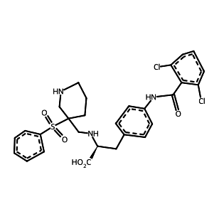 O=C(Nc1ccc(C[C@H](NCC2(S(=O)(=O)c3ccccc3)CCCNC2)C(=O)O)cc1)c1c(Cl)cccc1Cl